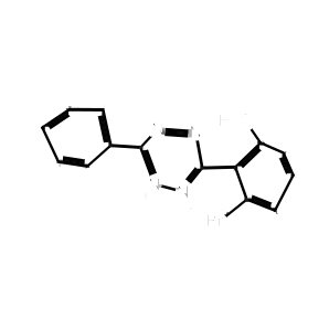 Cc1cccc(Br)c1-c1nnc(-c2ccccc2)nn1